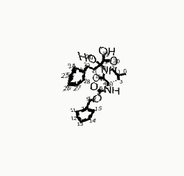 CC(C)C[C@H](NC(=O)OCc1ccccc1)C(=O)NC(O)(CCc1ccccc1)C(=O)O